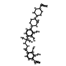 CCCCCC1CCC(C2CCC(c3ccc(C(F)(F)CCOc4ccc(OC)c(F)c4F)c(F)c3F)CO2)CC1